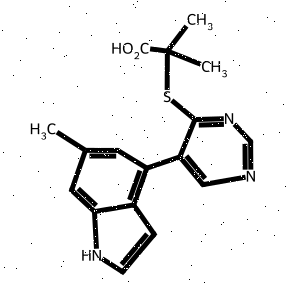 Cc1cc(-c2cncnc2SC(C)(C)C(=O)O)c2cc[nH]c2c1